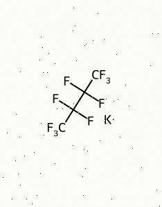 FC(F)(F)C(F)(F)C(F)(F)C(F)(F)F.[K]